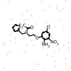 Nc1c(OCCN(Cc2cccs2)C(=O)C(F)(F)F)cc(Cl)cc1[N+](=O)[O-]